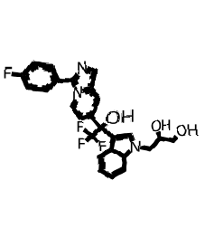 OCC(O)CN1C=C(C(O)(c2ccn3c(-c4ccc(F)cc4)ncc3c2)C(F)(F)F)C2C=CC=CC21